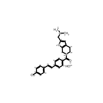 CN(C)Cc1cc2c(o1)CN(C(=O)c1ccc(C=Cc3ccc(Cl)cc3)cc1)CC2.Cl